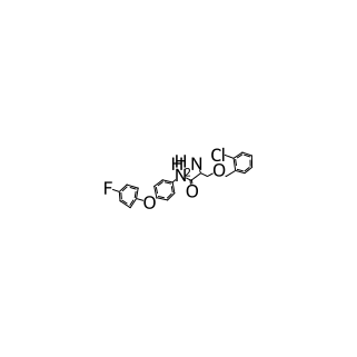 NC(COCc1ccccc1Cl)C(=O)Nc1ccc(Oc2ccc(F)cc2)cc1